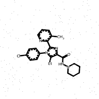 CCc1c(C(=O)NN2CCCCC2)nc(-c2ncccc2C)n1-c1ccc(Cl)cc1